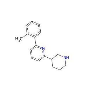 Cc1ccccc1-c1cccc(C2CCCNC2)n1